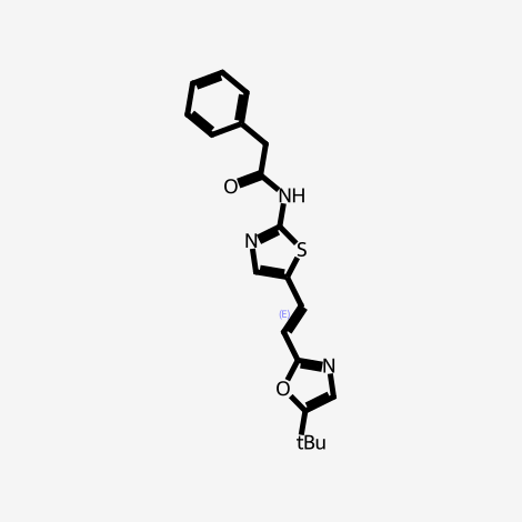 CC(C)(C)c1cnc(/C=C/c2cnc(NC(=O)Cc3ccccc3)s2)o1